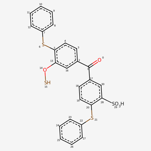 O=C(c1ccc(Sc2ccccc2)c(OS)c1)c1ccc(Sc2ccccc2)c(S(=O)(=O)O)c1